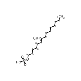 CCCCCCCCCCCCCCCOS(=O)(=O)O.[CaH2]